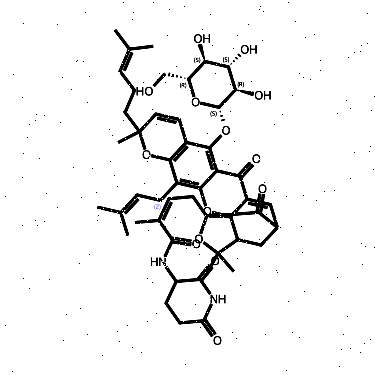 CC(C)=CCCC1(C)C=Cc2c(c(CC=C(C)C)c3c(c2O[C@@H]2O[C@H](CO)[C@@H](O)[C@H](O)[C@H]2O)C(=O)C2=CC4CC5C(C)(C)OC(C/C=C(/C)C(=O)NC6CCC(=O)NC6=O)(C4=O)C25O3)O1